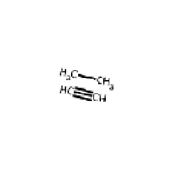 C#C.CC